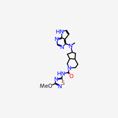 COc1nsc(NC(=O)N2CCC3CC(N(C)c4ncnc5[nH]ccc45)CC3C2)n1